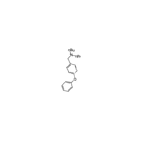 CCCCN(CCC)Cc1ccc(Oc2ccccc2)cc1